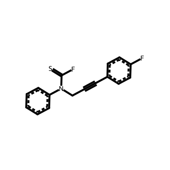 FC(=S)N(CC#Cc1ccc(F)cc1)c1ccccc1